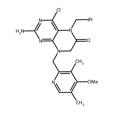 COc1c(C)cnc(CN2CC(=O)N(CC(C)C)c3c(Cl)nc(N)nc32)c1C